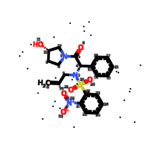 C=CCN([C@H](C(=O)N1CC[C@H](O)C1)c1ccccc1)S(=O)(=O)c1ccccc1[N+](=O)[O-]